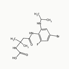 CC(C)Nc1cc(Br)cc(F)c1NC(=O)CC(C)(C)NC(=O)O